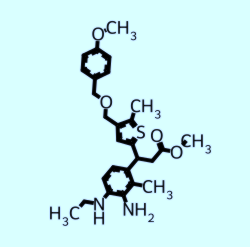 CCNc1ccc(C(CC(=O)OC)c2cc(COCc3ccc(OC)cc3)c(C)s2)c(C)c1N